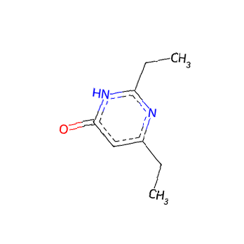 CCc1cc(=O)[nH]c(CC)n1